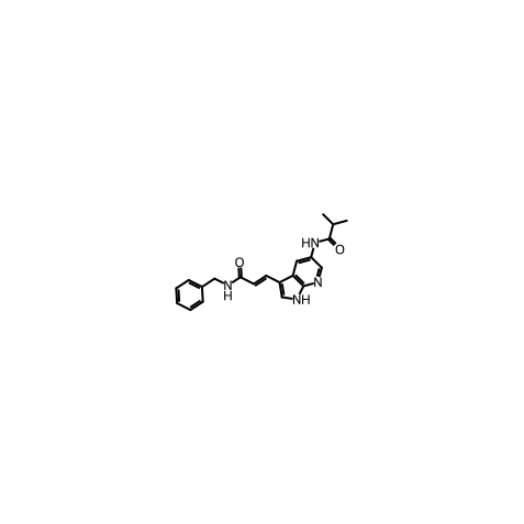 CC(C)C(=O)Nc1cnc2[nH]cc(/C=C/C(=O)NCc3ccccc3)c2c1